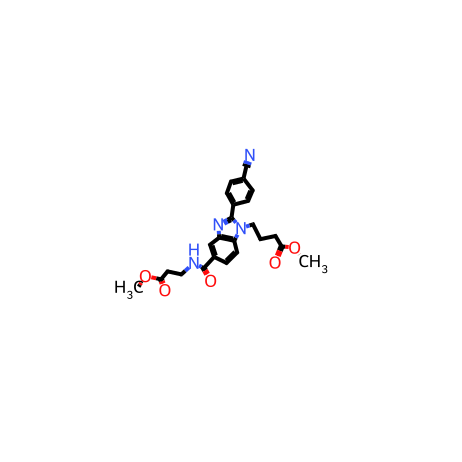 COC(=O)CCCn1c(-c2ccc(C#N)cc2)nc2cc(C(=O)NCCC(=O)OC)ccc21